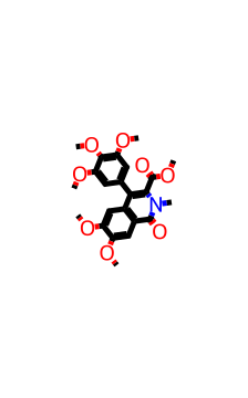 COC(=O)c1c(-c2cc(OC)c(OC)c(OC)c2)c2cc(OC)c(OC)cc2c(=O)n1C